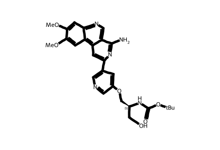 COc1cc2ncc3c(N)nc(-c4cncc(OC[C@H](CO)NC(=O)OC(C)(C)C)c4)cc3c2cc1OC